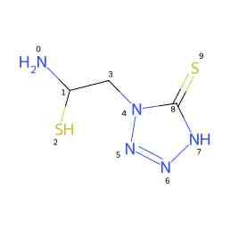 NC(S)Cn1nn[nH]c1=S